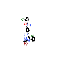 O=C(Cc1cccc(Cl)c1)NCc1ccc(CNc2cc(-c3ccccc3Cl)nc3c(Br)cnn23)cc1